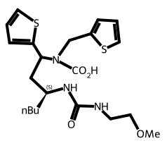 CCCC[C@@H](CC(c1cccs1)N(Cc1cccs1)C(=O)O)NC(=O)NCCOC